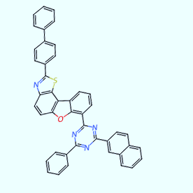 c1ccc(-c2ccc(-c3nc4ccc5oc6c(-c7nc(-c8ccccc8)nc(-c8ccc9ccccc9c8)n7)cccc6c5c4s3)cc2)cc1